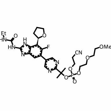 CCNC(=O)Nc1nc2cc(-c3cnc(C(C)(C)OP(=O)(OCCC#N)OCCOCCOC)nc3)c(F)c([C@H]3CCCO3)c2[nH]1